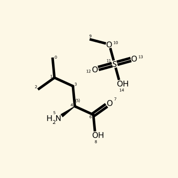 CC(C)C[C@H](N)C(=O)O.COS(=O)(=O)O